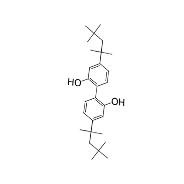 CC(C)(C)CC(C)(C)c1ccc(-c2ccc(C(C)(C)CC(C)(C)C)cc2O)c(O)c1